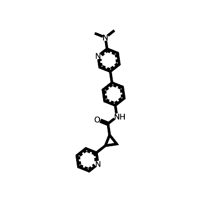 CN(C)c1ccc(-c2ccc(NC(=O)C3CC3c3ccccn3)cc2)cn1